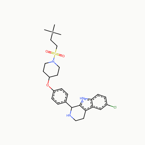 C[Si](C)(C)CCS(=O)(=O)N1CCC(Oc2ccc(C3NCCc4c3[nH]c3ccc(Cl)cc43)cc2)CC1